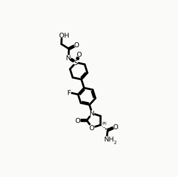 NC(=O)[C@H]1CN(c2ccc(C3=CCS(=O)(=NC(=O)CO)CC3)c(F)c2)C(=O)O1